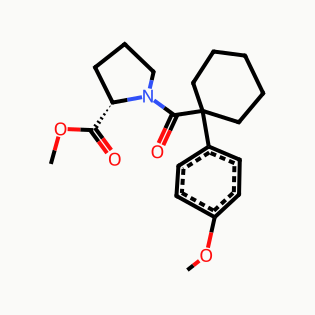 COC(=O)[C@@H]1CCCN1C(=O)C1(c2ccc(OC)cc2)CCCCC1